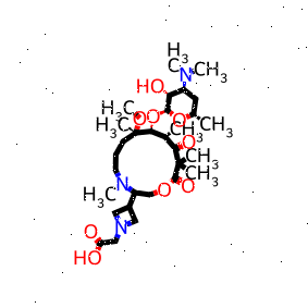 CO[C@]1(C)CCCN(C)C(C2CN(CC(=O)O)C2)COC(=O)C(C)(C)C(=O)[C@H](C)[C@H]1O[C@@H]1O[C@H](C)C[C@H](N(C)C)[C@H]1O